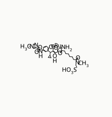 CCCCC(N)(C(=O)CCCCCCC(=O)N(C)CCS(=O)(=O)O)c1cc(O)c(C(c2cccc(NS(=O)(=O)c3cn(C)cn3)c2)C2CC2)c(=O)o1